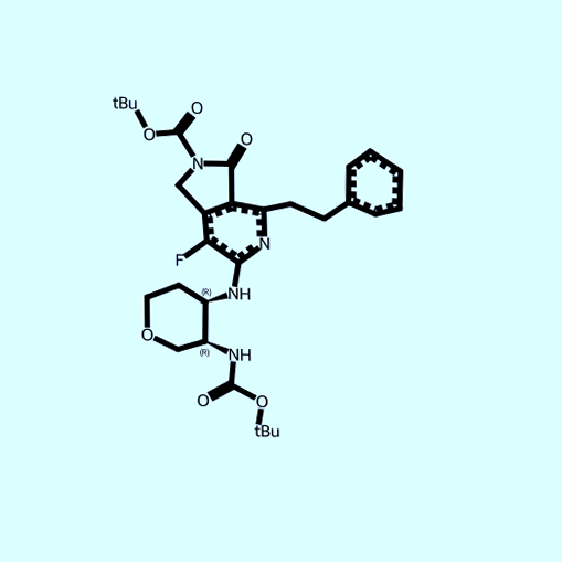 CC(C)(C)OC(=O)N[C@H]1COCC[C@H]1Nc1nc(CCc2ccccc2)c2c(c1F)CN(C(=O)OC(C)(C)C)C2=O